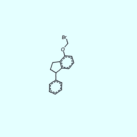 BrCOc1cccc2c1CCC2c1ccccc1